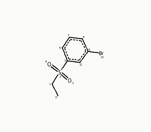 CCS(=O)(=O)c1cccc(Br)c1